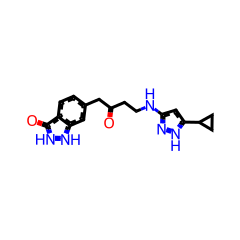 O=C(CCNc1cc(C2CC2)[nH]n1)Cc1ccc2c(=O)[nH][nH]c2c1